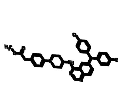 COC(=O)Cc1ccc(N2CCC(Nc3ncnc4ccc(C(c5ccc(Cl)cc5)c5ccc(Cl)cc5)cc34)CC2)cc1